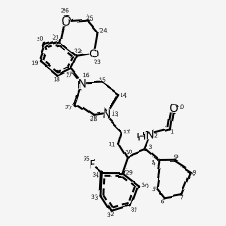 O=CNC(C1CCCCC1)C(CCN1CCN(c2cccc3c2OCCO3)CC1)c1ccccc1F